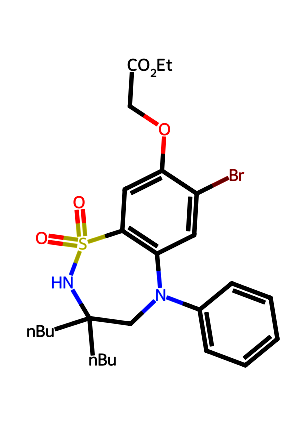 CCCCC1(CCCC)CN(c2ccccc2)c2cc(Br)c(OCC(=O)OCC)cc2S(=O)(=O)N1